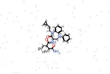 CCC[C@H](C(N)=O)[C@@H](CC(C)C)C(=O)NC1CN(c2ccccc2)c2ccccc2N(CCC2CC2)C1=O